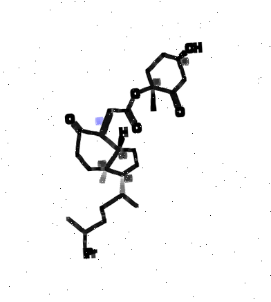 CC(C)C(C)CCC(C)[C@H]1CC[C@H]2/C(=C\C(=O)O[C@]3(C)CC[C@@H](O)CC3=O)C(=O)CC[C@]12C